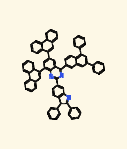 c1ccc(C2=Nc3cc(-c4nc(-c5ccc6c(-c7ccccc7)cc(-c7ccccc7)cc6c5)c5cc(-c6cc7ccccc7c7ccccc67)cc(-c6cc7ccccc7c7ccccc67)c5n4)ccc3C2c2ccccc2)cc1